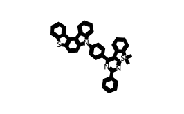 C[Si]1(C)c2ccccc2-c2c(-c3ccc(-n4c5ccccc5c5c6c(ccc54)sc4ccccc46)cc3)nc(-c3ccccc3)nc21